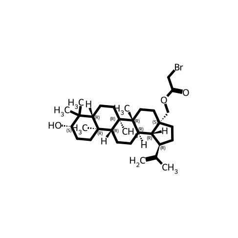 C=C(C)[C@@H]1CC[C@]2(COC(=O)CBr)CC[C@]3(C)[C@H](CC[C@@H]4[C@@]5(C)CC[C@H](O)C(C)(C)[C@@H]5CC[C@]43C)[C@@H]12